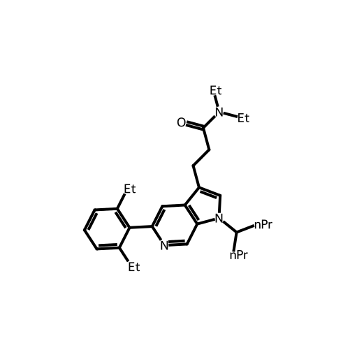 CCCC(CCC)n1cc(CCC(=O)N(CC)CC)c2cc(-c3c(CC)cccc3CC)ncc21